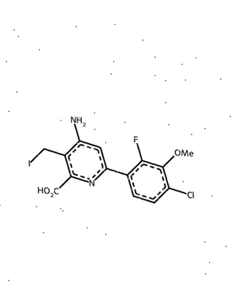 COc1c(Cl)ccc(-c2cc(N)c(CI)c(C(=O)O)n2)c1F